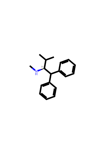 CN[C@@H](C(C)C)C(c1ccccc1)c1ccccc1